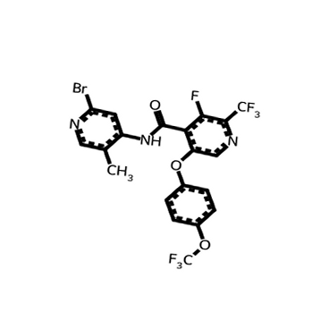 Cc1cnc(Br)cc1NC(=O)c1c(Oc2ccc(OC(F)(F)F)cc2)cnc(C(F)(F)F)c1F